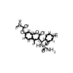 Cc1c(C(NS(N)(=O)=O)c2ccc(F)cc2)c(=O)oc2cc(OC(=O)N(C)C)ccc12